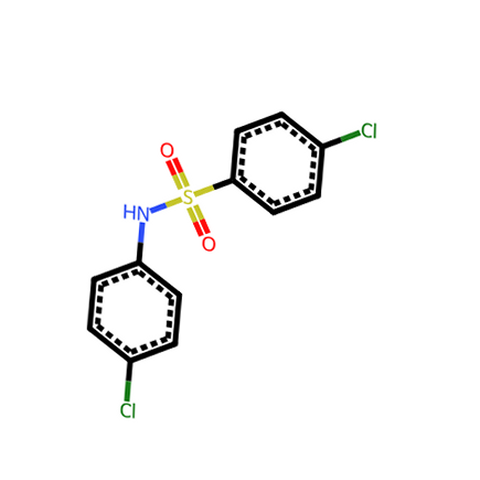 O=S(=O)(Nc1ccc(Cl)cc1)c1ccc(Cl)cc1